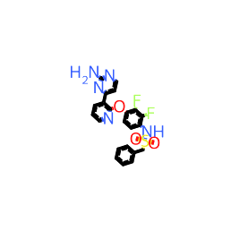 Nc1nccc(-c2cccnc2Oc2ccc(NS(=O)(=O)Cc3ccccc3)c(F)c2F)n1